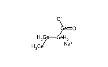 [Na+].[O]=[Ge]([O-])[GeH2][GeH2][GeH3]